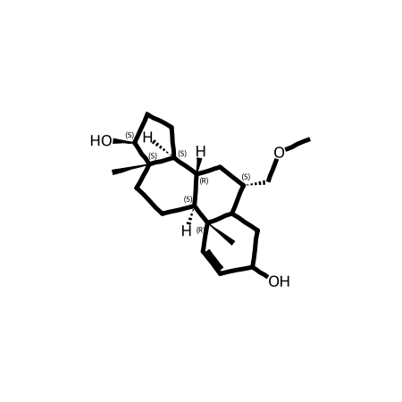 COC[C@H]1C[C@H]2[C@@H]3CC[C@H](O)[C@@]3(C)CC[C@@H]2[C@@]2(C)C=CC(O)CC12